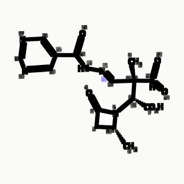 C[C@@H]1CC(=O)N1[C@@H](C(=O)O)[C@](C)(/C=N/NC(=O)c1cncnc1)[SH](=O)=O